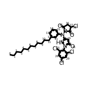 CCCCCCCCCCCCc1cccc(N(c2cc(=O)n(-c3c(Cl)cc(Cl)cc3Cl)[nH]2)N2C(=O)CC(Cl)C2=O)c1